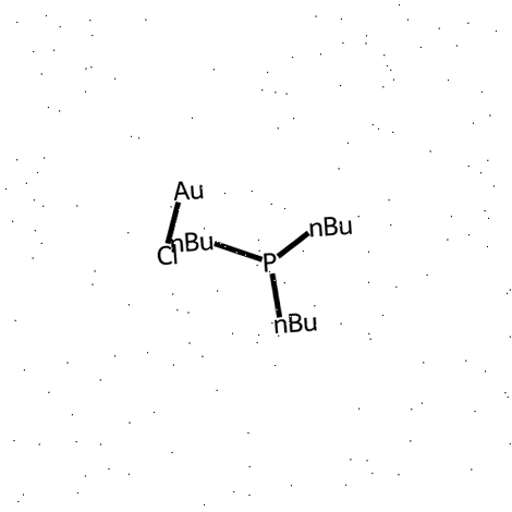 CCCCP(CCCC)CCCC.[Cl][Au]